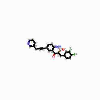 O=C1/C(=C/c2ccc(F)c(F)c2)[S+]([O-])Nc2ccc(C#CCc3cccnc3)cc21